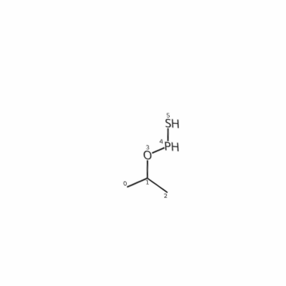 CC(C)OPS